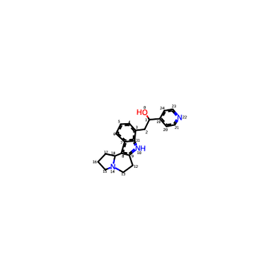 OC(Cc1cccc2c3c([nH]c12)CCN1CCCC31)c1ccncc1